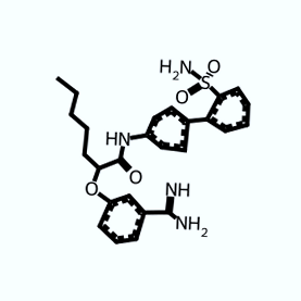 CCCCCC(Oc1cccc(C(=N)N)c1)C(=O)Nc1ccc(-c2ccccc2S(N)(=O)=O)cc1